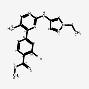 CCn1cc(Nc2ncc(C)c(-c3ccc(C(=O)OC)c(F)c3)n2)cn1